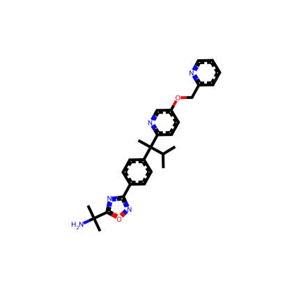 CC(C)C(C)(c1ccc(-c2noc(C(C)(C)N)n2)cc1)c1ccc(OCc2ccccn2)cn1